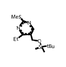 CCc1nc(SC)ncc1CO[Si](C)(C)C(C)(C)C